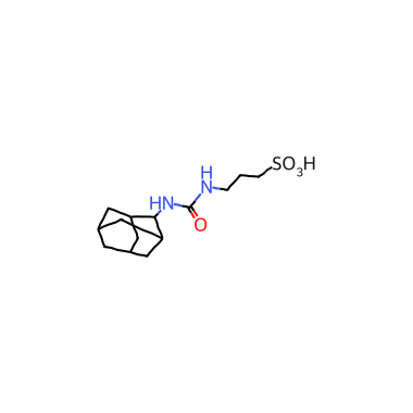 O=C(NCCCS(=O)(=O)O)NC1C2CC3CC(C2)CC1C3